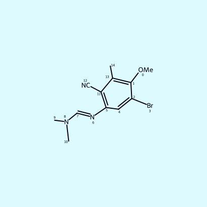 COc1c(Br)cc(N=CN(C)C)c(C#N)c1C